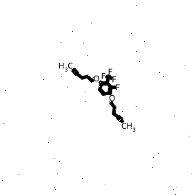 CC#CCCCOc1ccc(OCCCC#CC)c(C(F)(F)F)c1F